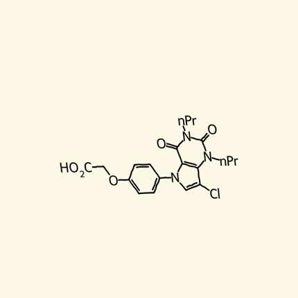 CCCn1c(=O)c2c(c(Cl)cn2-c2ccc(OCC(=O)O)cc2)n(CCC)c1=O